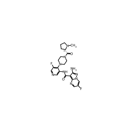 CN1CCC[C@H]1C(=O)N1CCN(c2c(F)cncc2NC(=O)c2c(N)nn3cc(F)cnc23)CC1